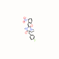 CCC1(Cc2ccc(F)cc2)C(=O)N(C)/C(=C/c2ccccc2[N+](=O)[O-])C(=O)N1C